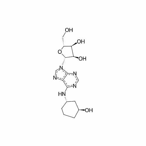 OC[C@H]1O[C@@H](n2cnc3c(N[C@H]4CCC[C@H](O)C4)ncnc32)[C@H](O)[C@@H]1O